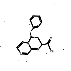 O=C(O)C1CC(Sc2ccccc2)N2C=CN=CC2=N1